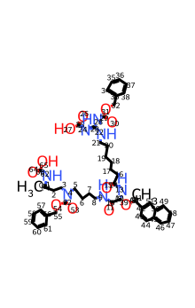 C[C@H](CCN(CCCCNC(=O)[C@@H](NC(=O)CCCCCCNC(=NC(=O)O)NC(=O)OCc1ccccc1)O[C@@H](C)c1ccc2ccccc2c1)C(=O)OCc1ccccc1)NC(=O)O